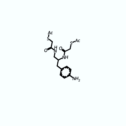 CC(=O)SCC(=O)NCC(Cc1ccc(N)cc1)NC(=O)CSC(C)=O